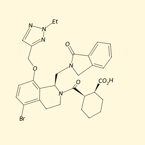 CCn1ncc(COc2ccc(Br)c3c2[C@@H](CN2Cc4ccccc4C2=O)N(C(=O)[C@@H]2CCCC[C@@H]2C(=O)O)CC3)n1